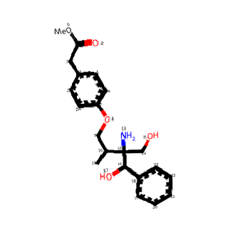 COC(=O)Cc1ccc(OCC(C)C(N)(CO)C(O)c2ccccc2)cc1